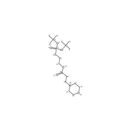 CC(C)(C)OP(=O)(OC(C)(C)C)SCCOC(=O)CCN1CCOCC1